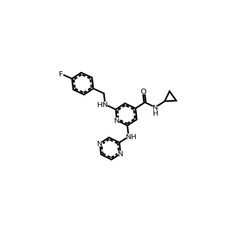 O=C(NC1CC1)c1cc(NCc2ccc(F)cc2)nc(Nc2cnccn2)c1